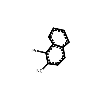 CC(C)c1c(C#N)ccc2ccccc12